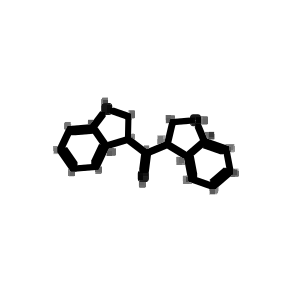 O=C(C1COc2ccccc21)C1COc2ccccc21